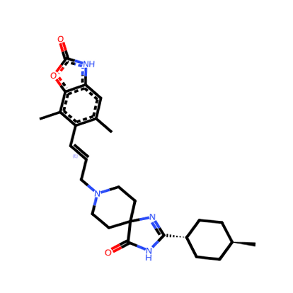 Cc1cc2[nH]c(=O)oc2c(C)c1/C=C/CN1CCC2(CC1)N=C([C@H]1CC[C@H](C)CC1)NC2=O